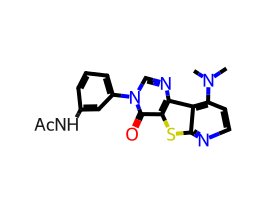 CC(=O)Nc1cccc(-n2cnc3c(sc4nccc(N(C)C)c43)c2=O)c1